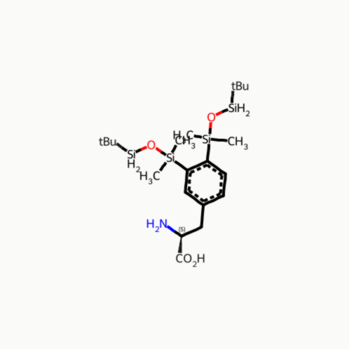 CC(C)(C)[SiH2]O[Si](C)(C)c1ccc(C[C@H](N)C(=O)O)cc1[Si](C)(C)O[SiH2]C(C)(C)C